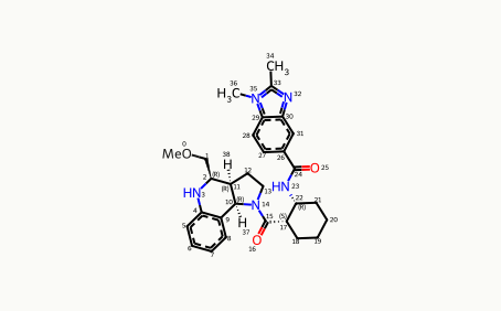 COC[C@@H]1Nc2ccccc2[C@H]2[C@@H]1CCN2C(=O)[C@H]1CCCC[C@H]1NC(=O)c1ccc2c(c1)nc(C)n2C